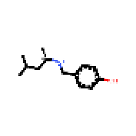 CC(C)C[C@@H](C)NCc1ccc(O)cc1